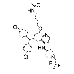 CC(=O)NCCCCOc1cc(C(c2ccc(Cl)cc2)c2ccc(Cl)cc2)cc2c(NC3CCN(CC(F)(F)F)CC3)ccnc12